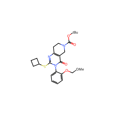 COCOc1ccccc1-n1c(SC2CCC2)nc2c(c1=O)CN(C(=O)OC(C)(C)C)CC2